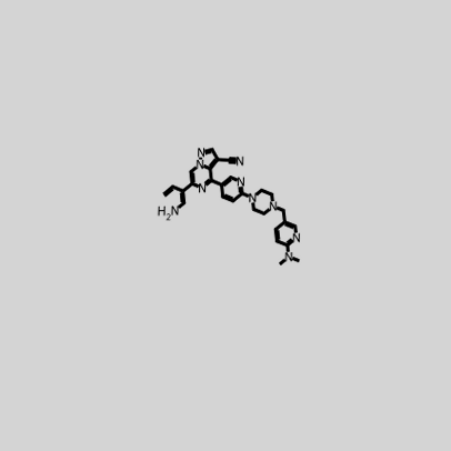 C=C/C(=C\N)c1cn2ncc(C#N)c2c(-c2ccc(N3CCN(Cc4ccc(N(C)C)nc4)CC3)nc2)n1